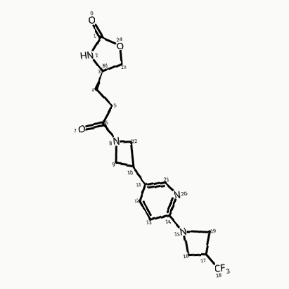 O=C1N[C@H](CCC(=O)N2CC(c3ccc(N4CC(C(F)(F)F)C4)nc3)C2)CO1